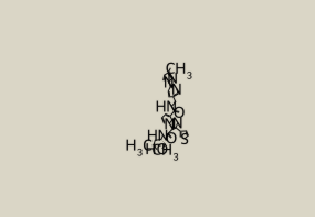 Cc1ccn(-c2ccc(CNC(=O)c3cccn4c(C(=O)N[C@H](CO)CC(C)C)c(-c5ccsc5)nc34)cn2)n1